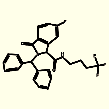 O=C(NCCCC(F)(F)F)C1c2cc(F)ccc2C(=O)N1C(c1ccccc1)c1ccccc1